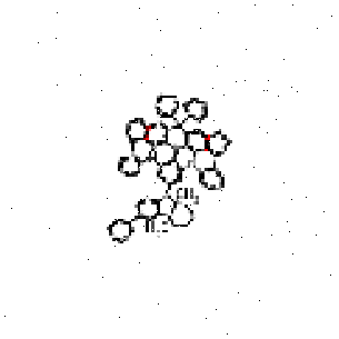 CC12CCCCC1(C)N(c1cc3c4c(c1)N(c1ccccc1-c1ccccc1)c1cccc5c1B4c1c(cccc1C5(c1ccccc1)c1ccccc1)N3c1ccccc1-c1ccccc1)c1ccc(-c3ccccc3)cc12